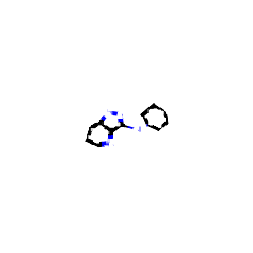 c1ccc(Nc2n[nH]c3cccnc23)cc1